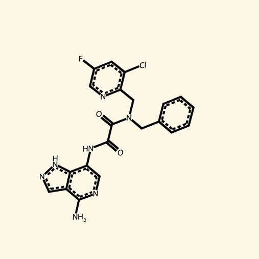 Nc1ncc(NC(=O)C(=O)N(Cc2ccccc2)Cc2ncc(F)cc2Cl)c2[nH]ncc12